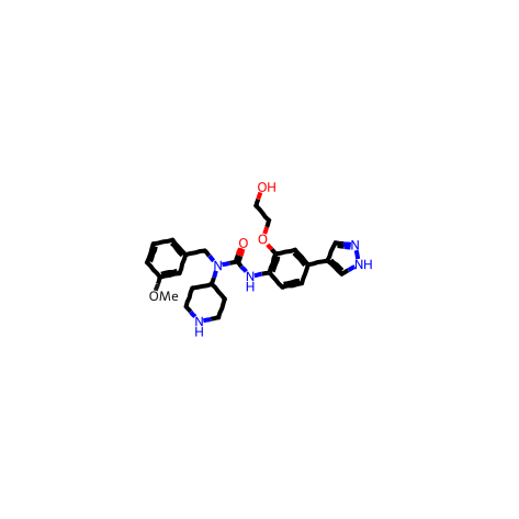 COc1cccc(CN(C(=O)Nc2ccc(-c3cn[nH]c3)cc2OCCO)C2CCNCC2)c1